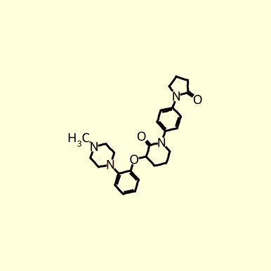 CN1CCN(c2ccccc2OC2CCCN(c3ccc(N4CCCC4=O)cc3)C2=O)CC1